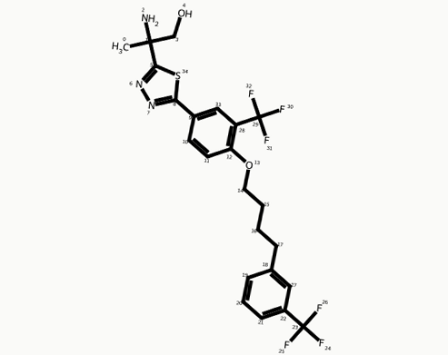 CC(N)(CO)c1nnc(-c2ccc(OCCCCc3cccc(C(F)(F)F)c3)c(C(F)(F)F)c2)s1